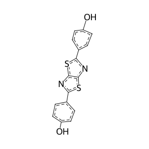 Oc1ccc(-c2nc3sc(-c4ccc(O)cc4)nc3s2)cc1